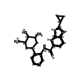 CC1CN(c2ccncc2NC(=O)c2ccc3sc(C4CC4)nc3n2)CC(N)C1O